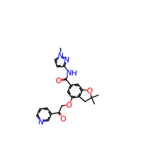 Cn1ccc(NC(=O)c2cc(OCC(=O)c3cccnc3)c3c(c2)OC(C)(C)C3)n1